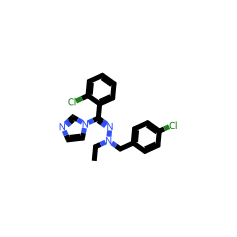 CCN(Cc1ccc(Cl)cc1)N=C(c1ccccc1Cl)n1ccnc1